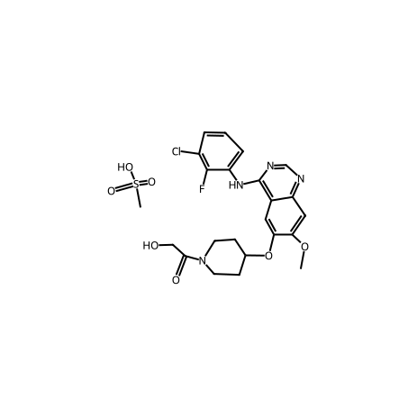 COc1cc2ncnc(Nc3cccc(Cl)c3F)c2cc1OC1CCN(C(=O)CO)CC1.CS(=O)(=O)O